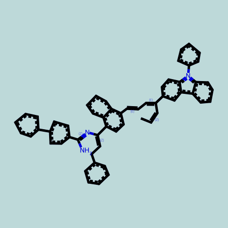 C\C=C/C(=C\C=C\c1ccc(C(=C/Cc2ccccc2)/N=C(\N)c2ccc(-c3ccccc3)cc2)c2ccccc12)c1ccc2c(c1)c1ccccc1n2-c1ccccc1